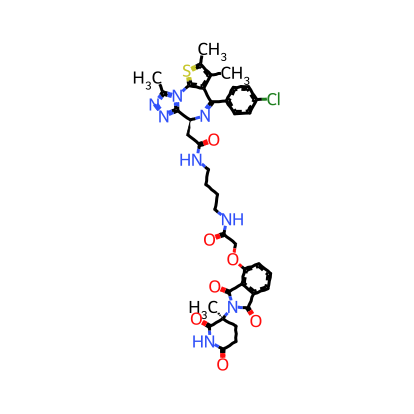 Cc1sc2c(c1C)C(c1ccc(Cl)cc1)=N[C@@H](CC(=O)NCCCCNC(=O)COc1cccc3c1C(=O)N([C@@]1(C)CCC(=O)NC1=O)C3=O)c1nnc(C)n1-2